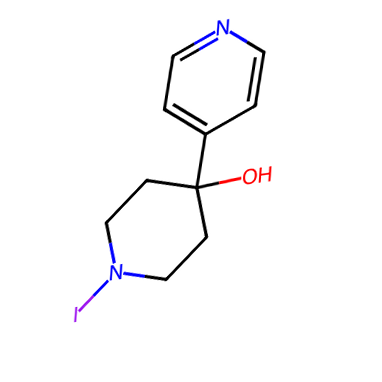 OC1(c2ccncc2)CCN(I)CC1